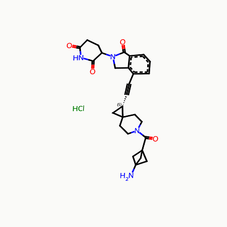 Cl.NC12CC(C(=O)N3CCC4(CC3)C[C@@H]4C#Cc3cccc4c3CN(C3CCC(=O)NC3=O)C4=O)(C1)C2